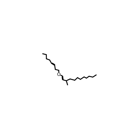 CCCCC=CCCOC=CC(C)CCCCCCCCC